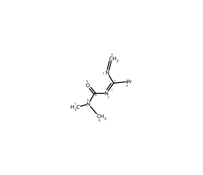 C=N/C(=N\C(=O)N(C)C)C(C)C